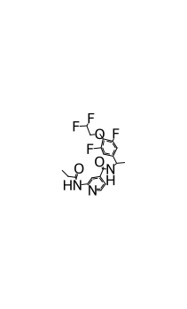 CCC(=O)Nc1cc(C(=O)NC(C)c2cc(F)c(OCC(F)F)c(F)c2)ccn1